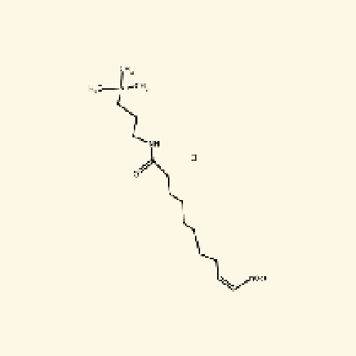 CCCCCCCC/C=C\CCCCCCCC(=O)NCCC[P+](C)(C)C.[Cl-]